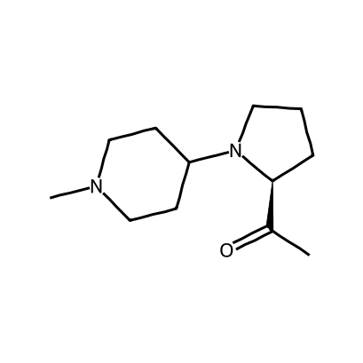 CC(=O)[C@@H]1CCCN1C1CCN(C)CC1